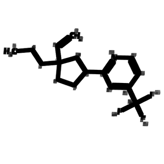 C=CC1(CCC)CCC(c2cc(C(F)(F)F)ccn2)C1